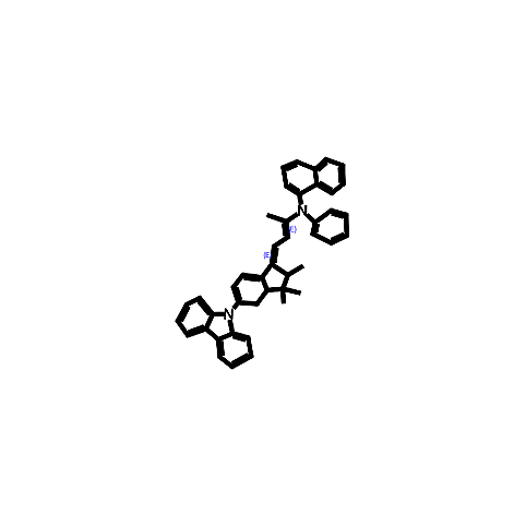 C/C(=C\C=C1\C2=CC=C(n3c4ccccc4c4ccccc43)CC2C(C)(C)C1C)N(c1ccccc1)c1cccc2ccccc12